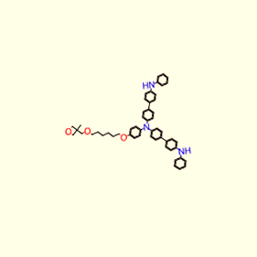 CC1(COCCCCCCOc2ccc(N(c3ccc(-c4ccc(Nc5ccccc5)cc4)cc3)c3ccc(-c4ccc(Nc5ccccc5)cc4)cc3)cc2)COC1